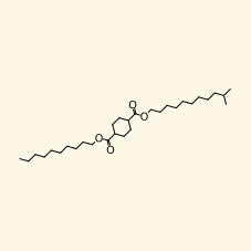 CCCCCCCCCCOC(=O)C1CCC(C(=O)OCCCCCCCCCC(C)C)CC1